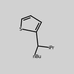 CCCCC(c1cccs1)C(C)C